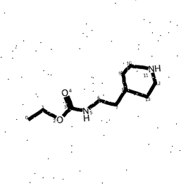 CCOC(=O)NCCC1CCNCC1